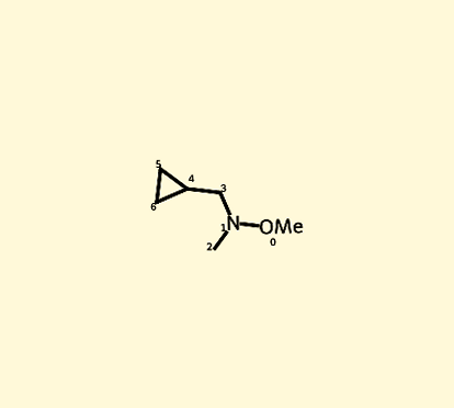 CON(C)CC1CC1